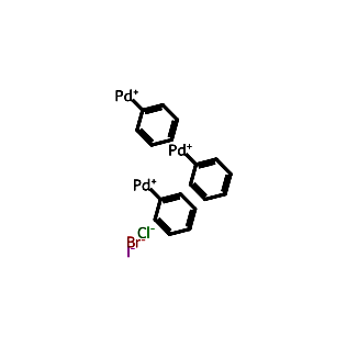 [Br-].[Cl-].[I-].[Pd+][c]1ccccc1.[Pd+][c]1ccccc1.[Pd+][c]1ccccc1